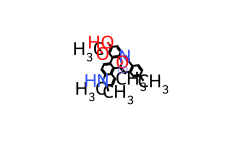 COc1c(O)ccc2c1-c1ccc3c(c1/C(=C/c1cc(C)ccc1C#N)O2)C(C)=CC(C)(C)N3